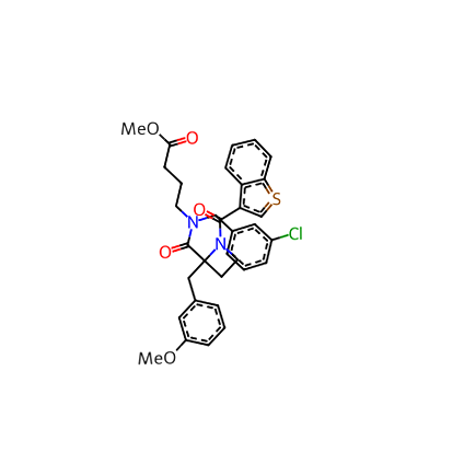 COC(=O)CCCN(Cc1cccc(Cl)c1)C(=O)C1(Cc2cccc(OC)c2)CCN1C(=O)c1csc2ccccc12